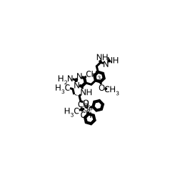 CCC[C@@H](CO[Si](c1ccccc1)(c1ccccc1)C(C)(C)C)Nc1nc(N)nc(C)c1Cc1cc(CC(=N)N=N)ccc1OC